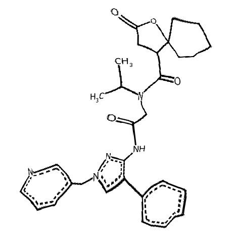 CC(C)N(CC(=O)Nc1nn(-c2cccnc2)cc1-c1ccccc1)C(=O)C1CC(=O)OC12CCCCC2